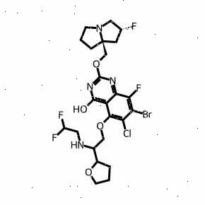 Oc1nc(OC[C@@]23CCCN2C[C@H](F)C3)nc2c(F)c(Br)c(Cl)c(OCC(NCC(F)F)C3CCCO3)c12